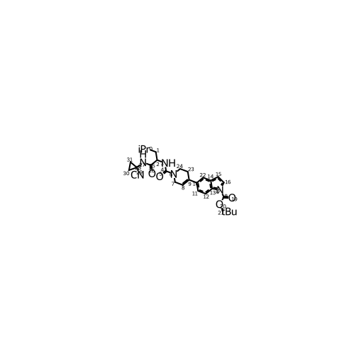 CC(C)CC(NC(=O)N1CC=C(c2ccc3c(ccn3C(=O)OC(C)(C)C)c2)CC1)C(=O)NC1(C#N)CC1